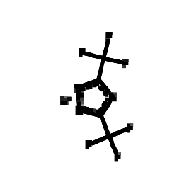 FC(F)(F)c1n[n-]c(C(F)(F)F)n1.[Li+]